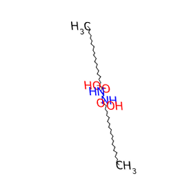 CCCCCCCCCCCCCCCCCCCCC(O)C(=O)NCCNC(=O)C(O)CCCCCCCCCCCCCCCCCCCC